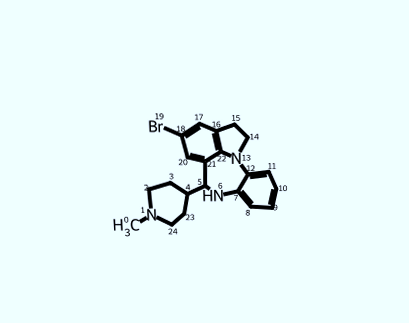 CN1CCC(C2Nc3ccccc3N3CCc4cc(Br)cc2c43)CC1